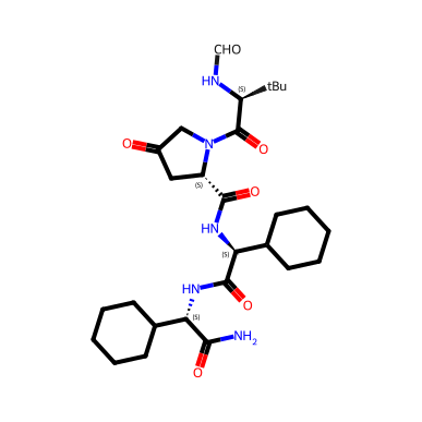 CC(C)(C)[C@H](NC=O)C(=O)N1CC(=O)C[C@H]1C(=O)N[C@H](C(=O)N[C@H](C(N)=O)C1CCCCC1)C1CCCCC1